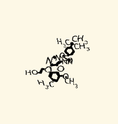 COc1cc(C)ccc1Oc1c(NS(=O)(=O)c2ccc(C(C)(C)C)cc2)ncnc1OCCO